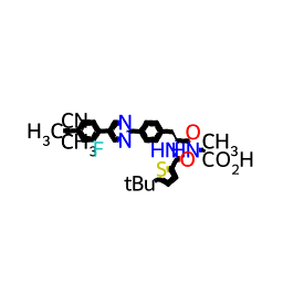 C[C@@H](NC(=O)[C@H](Cc1ccc(-c2ncc(-c3ccc(C(C)(C)C#N)cc3F)cn2)cc1)NC(=O)c1ccc(C(C)(C)C)s1)C(=O)O